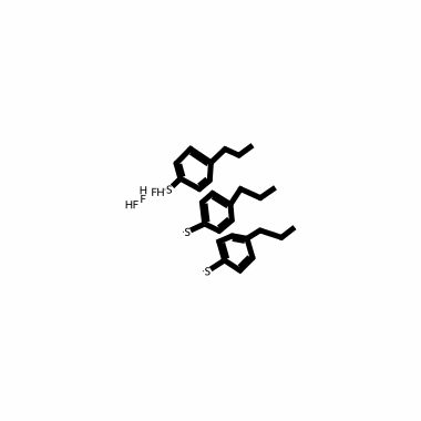 CCCc1ccc([S])cc1.CCCc1ccc([S])cc1.CCCc1ccc([S])cc1.F.F.F